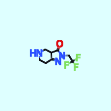 O=C1C2CNCCC2=NN1CC(F)(F)F